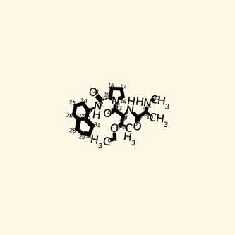 CCO[C@H](C)[C@H](NC(=O)[C@H](C)NC)C(=O)N1CCC[C@H]1C(=O)N[C@@H]1CCCc2ccccc21